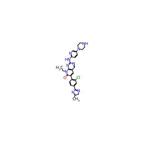 CCn1c(=O)c(-c2ccc(C3=NCC(C)=N3)cc2Cl)cc2cnc(Nc3ccc(N4CCNCC4)cn3)nc21